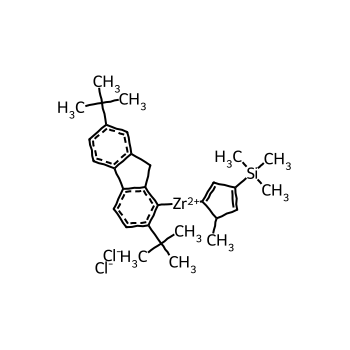 CC1C=C([Si](C)(C)C)C=[C]1[Zr+2][c]1c(C(C)(C)C)ccc2c1Cc1cc(C(C)(C)C)ccc1-2.[Cl-].[Cl-]